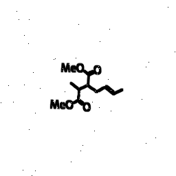 C/C=C/CC(C(=O)OC)C(C)C(=O)OC